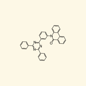 O=c1c2ccccc2c2ccccc2n1-c1cccc(-c2nc(-c3ccccc3)nc(-c3ccccc3)n2)c1